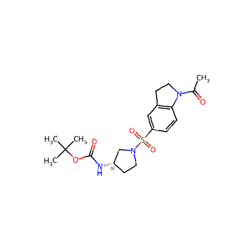 CC(=O)N1CCc2cc(S(=O)(=O)N3CC[C@H](NC(=O)OC(C)(C)C)C3)ccc21